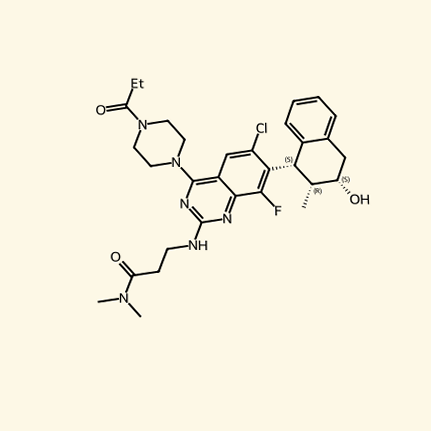 CCC(=O)N1CCN(c2nc(NCCC(=O)N(C)C)nc3c(F)c([C@@H]4c5ccccc5C[C@H](O)[C@@H]4C)c(Cl)cc23)CC1